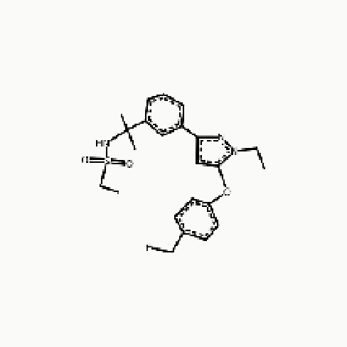 CCn1nc(-c2cccc(C(C)(C)NS(=O)(=O)CC)c2)cc1Oc1ccc(CF)cc1